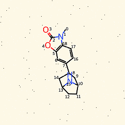 Cn1c(=O)oc2cc(C3CC4CCC(C3)N4)ccc21